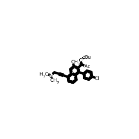 CC(=O)C(OC(C)(C)C)c1c(C)cc2c(C#CCN(C)C)cccc2c1-c1ccc(Cl)cc1